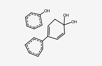 OC1(O)C=CC(c2ccccc2)=CC1.Oc1ccccc1